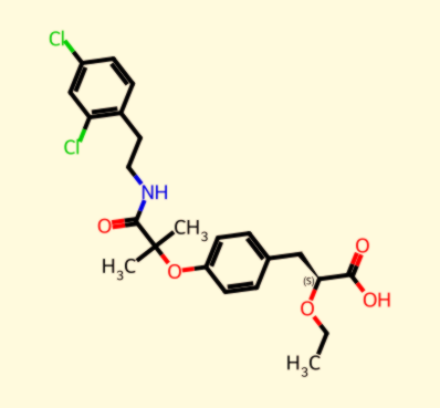 CCO[C@@H](Cc1ccc(OC(C)(C)C(=O)NCCc2ccc(Cl)cc2Cl)cc1)C(=O)O